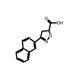 O=C(O)C1CC(c2ccc3ccccc3c2)=NO1